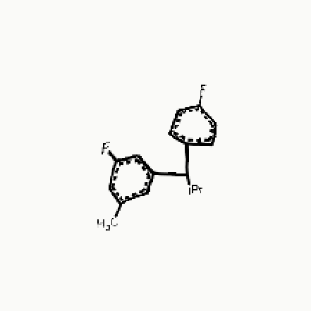 Cc1cc(F)cc(C(c2ccc(F)cc2)C(C)C)c1